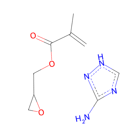 C=C(C)C(=O)OCC1CO1.Nc1nc[nH]n1